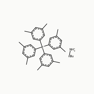 CCCC[NH3+].Cc1cc(C)cc([B-](c2cc(C)cc(C)c2)(c2cc(C)cc(C)c2)c2cc(C)cc(C)c2)c1